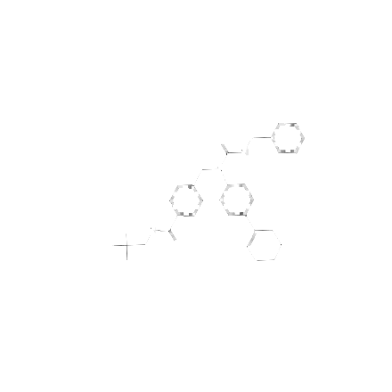 O=C(NCC(F)(F)C(=O)O)c1ccc(CN(C(=O)NCc2ccccc2)c2ccc(C3=CCCCC3)cc2)cc1